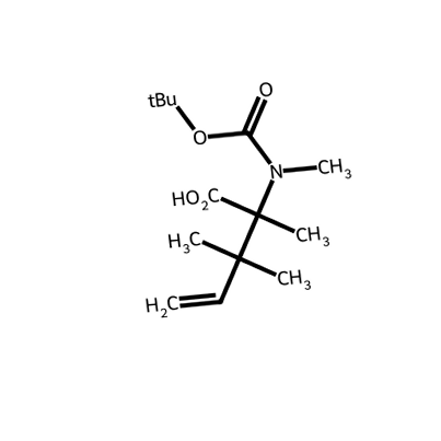 C=CC(C)(C)C(C)(C(=O)O)N(C)C(=O)OC(C)(C)C